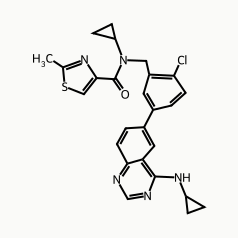 Cc1nc(C(=O)N(Cc2cc(-c3ccc4ncnc(NC5CC5)c4c3)ccc2Cl)C2CC2)cs1